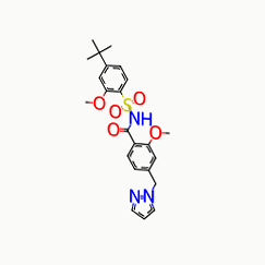 COc1cc(Cn2cccn2)ccc1C(=O)NS(=O)(=O)c1ccc(C(C)(C)C)cc1OC